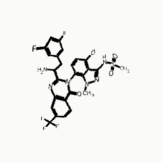 Cn1nc(NS(C)(=O)=O)c2c(Cl)ccc(-n3c(C(N)Cc4cc(F)cc(F)c4)nc4cc(C(F)(F)F)ccc4c3=O)c21